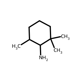 CC1CCCC(C)(C)C1N